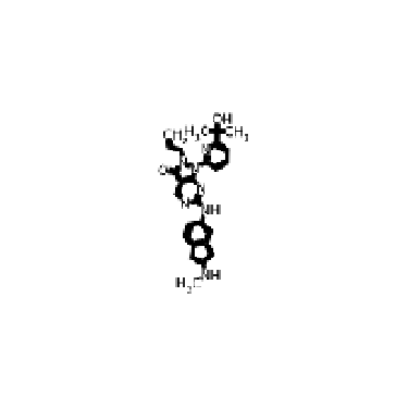 C=CCn1c(=O)c2cnc(Nc3ccc4c(c3)CC(NC)C4)nc2n1-c1cccc(C(C)(C)O)n1